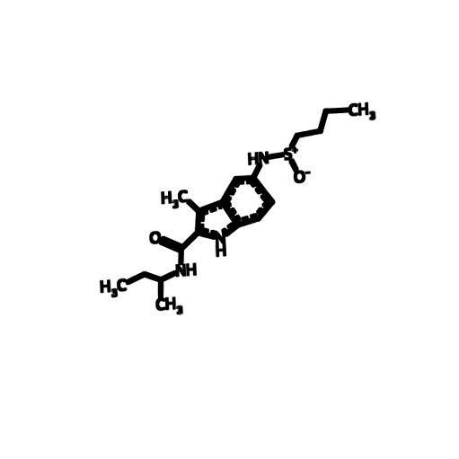 CCCC[S+]([O-])Nc1ccc2[nH]c(C(=O)NC(C)CC)c(C)c2c1